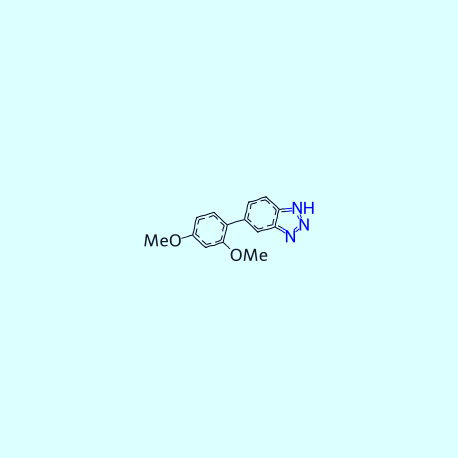 COc1ccc(-c2ccc3[nH]nnc3c2)c(OC)c1